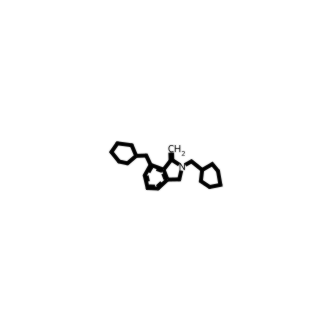 C=C1c2c(CC3CCCCC3)cccc2CN1CC1CCCCC1